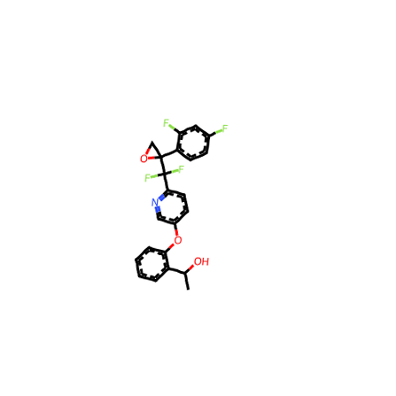 CC(O)c1ccccc1Oc1ccc(C(F)(F)C2(c3ccc(F)cc3F)CO2)nc1